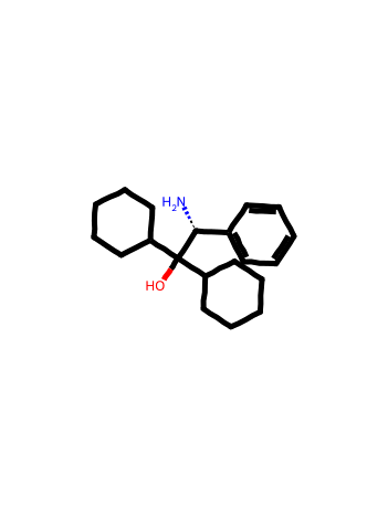 N[C@H](c1ccccc1)C(O)(C1CCCCC1)C1CCCCC1